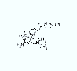 CN(C)C[C@]12C[C@H]1[C@@](C)(c1cc(/C=C(\F)c3ccc(C#N)cn3)ccc1F)N=C(N)S2